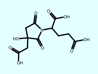 O=C(O)CCC(C(=O)O)N1C(=O)CC(O)(CC(=O)O)C1=O